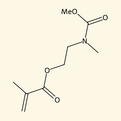 C=C(C)C(=O)OCCN(C)C(=O)OC